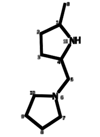 CC1CCC(CN2CCCC2)N1